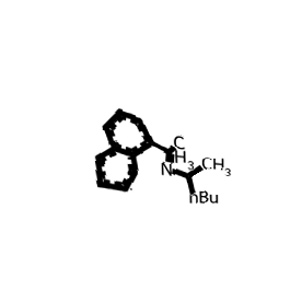 CCCCC(C)N=C(C)c1cccc2cc[c]cc12